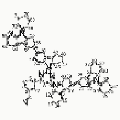 N#Cc1cccc(-c2cc(-n3c4ccccc4c4cc(-c5ccc6c(c5)c5ccccc5n6-c5ccccc5)ccc43)nc(-n3c4ccccc4c4cc(-c5ccc6c(c5)c5ccccc5n6-c5ccccc5)ccc43)n2)c1